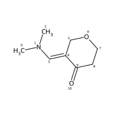 CN(C)C=C1COCCC1=O